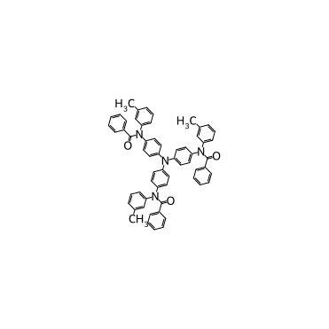 Cc1cccc(N(C(=O)c2ccccc2)c2ccc(N(c3ccc(N(C(=O)c4ccccc4)c4cccc(C)c4)cc3)c3ccc(N(C(=O)c4ccccc4)c4cccc(C)c4)cc3)cc2)c1